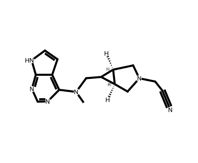 CN(CC1[C@H]2CN(CC#N)C[C@@H]12)c1ncnc2[nH]ccc12